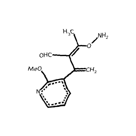 C=C(/C(C=O)=C(/C)ON)c1cccnc1OC